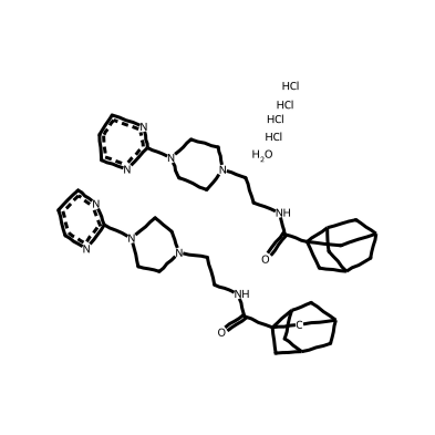 Cl.Cl.Cl.Cl.O.O=C(NCCN1CCN(c2ncccn2)CC1)C12CC3CC(CC1C3)C2.O=C(NCCN1CCN(c2ncccn2)CC1)C12CC3CC(CC1C3)C2